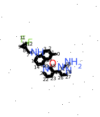 Cc1ccc2c(NCC3CC3(F)F)cccc2c1Oc1ncccc1-c1ccnc(N)n1